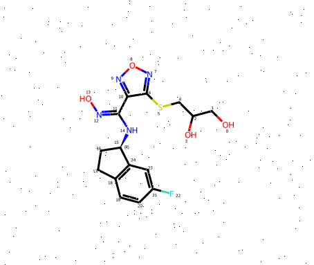 OCC(O)CSc1nonc1C(=NO)N[C@@H]1CCc2ccc(F)cc21